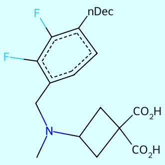 CCCCCCCCCCc1ccc(CN(C)C2CC(C(=O)O)(C(=O)O)C2)c(F)c1F